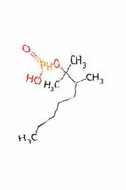 CCCCCC(C)C(C)(C)O[PH](=O)O